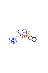 O=C(C1CCCN1S(=O)(=O)c1ccc2ccccc2c1)N(CCc1nnn[nH]1)C1CC1